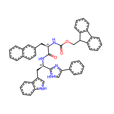 O=C(N[C@H](Cc1ccc2ccccc2c1)C(=O)N[C@H](Cc1c[nH]c2ccccc12)c1nc(-c2ccccc2)c[nH]1)OCC1c2ccccc2-c2ccccc21